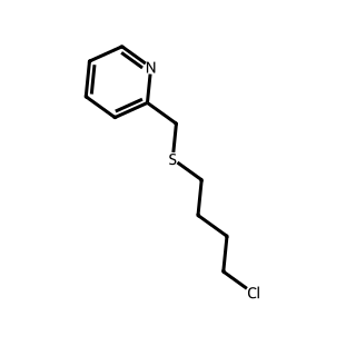 ClCCCCSCc1ccccn1